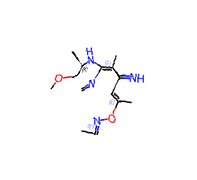 C=N/C(N[C@H](C)COC)=C(/C)C(=N)/C=C(\C)O/N=C/C